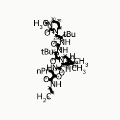 C=CCNC(=O)C(=O)C(CCC)NC(=O)[C@@H]1[C@@H]2[C@H](CN1C(=O)[C@@H](NC(=O)N[C@H](CN1CCCN(C)C1=O)C(C)(C)C)C(C)(C)C)C2(C)C